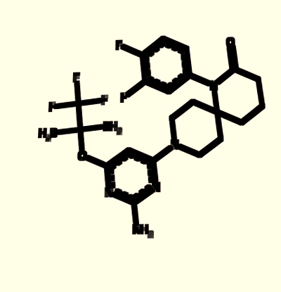 BC(B)(Oc1cc(N2CCC3(CCCC(=O)N3c3ccc(F)c(F)c3)CC2)nc(N)n1)C(F)(F)F